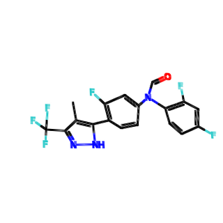 Cc1c(C(F)(F)F)n[nH]c1-c1ccc(N(C=O)c2ccc(F)cc2F)cc1F